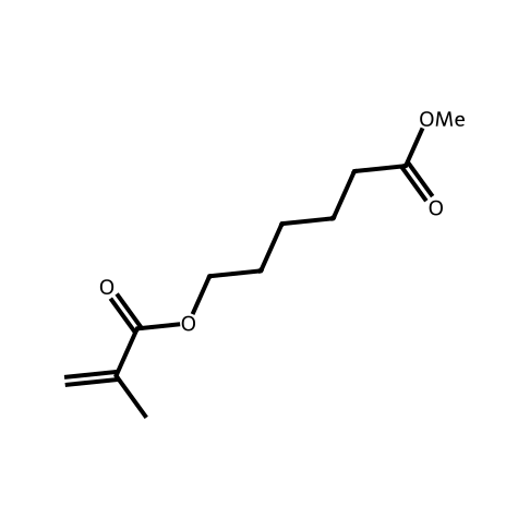 C=C(C)C(=O)OCCCCCC(=O)OC